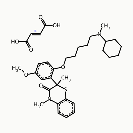 COc1ccc(OCCCCCN(C)C2CCCCC2)c(C2(C)Sc3ccccc3N(C)C2=O)c1.O=C(O)/C=C/C(=O)O